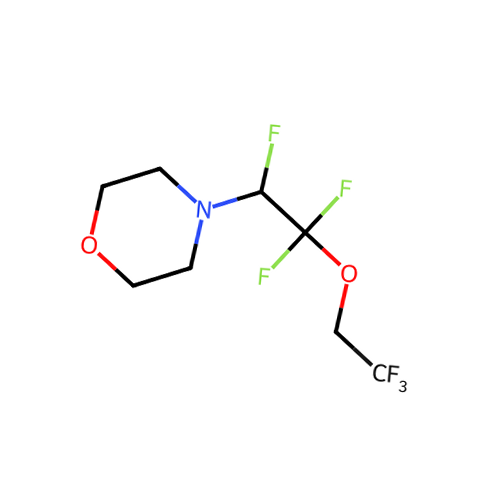 FC(N1CCOCC1)C(F)(F)OCC(F)(F)F